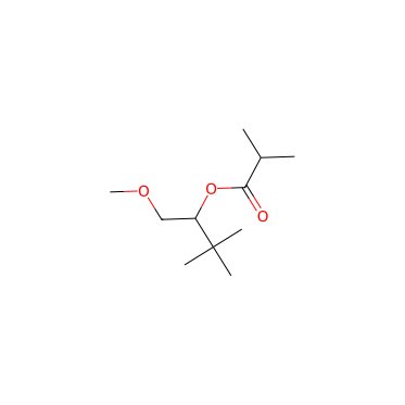 COCC(OC(=O)C(C)C)C(C)(C)C